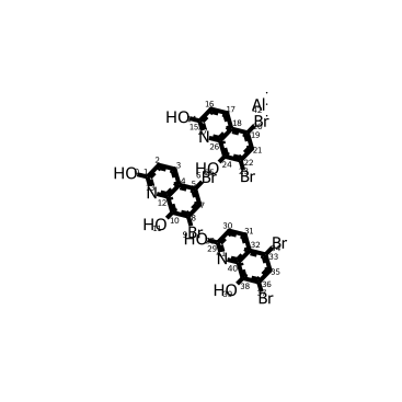 Oc1ccc2c(Br)cc(Br)c(O)c2n1.Oc1ccc2c(Br)cc(Br)c(O)c2n1.Oc1ccc2c(Br)cc(Br)c(O)c2n1.[Al]